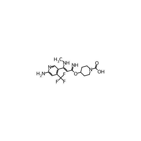 CN/C(=C\C(=N)OC1CCN(C(=O)O)CC1)c1cnc(N)cc1C(F)(F)F